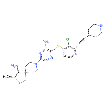 C[C@@H]1OCC2(CCN(c3cnc(Sc4ccnc(C#CC5CCNCC5)c4Cl)c(N)n3)CC2)[C@@H]1N